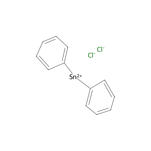 [Cl-].[Cl-].c1cc[c]([Sn+2][c]2ccccc2)cc1